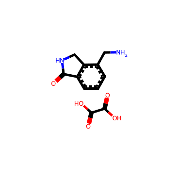 NCc1cccc2c1CNC2=O.O=C(O)C(=O)O